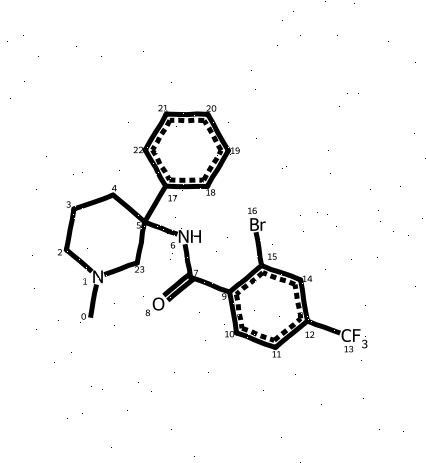 CN1CCCC(NC(=O)c2ccc(C(F)(F)F)cc2Br)(c2ccccc2)C1